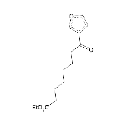 CCOC(=O)CCCCCCC(=O)c1ccoc1